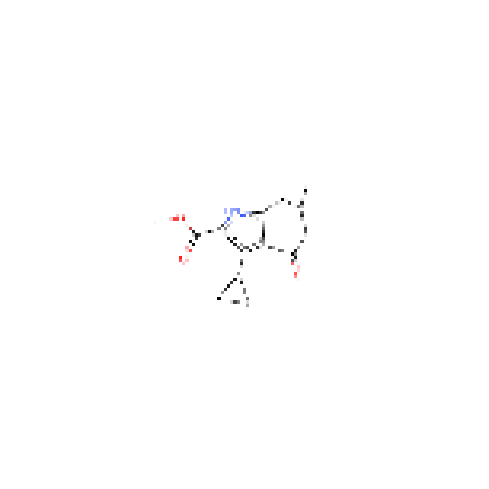 COC(=O)c1[nH]c2c(c1C1CC1)C(=O)CC(C)(C)C2